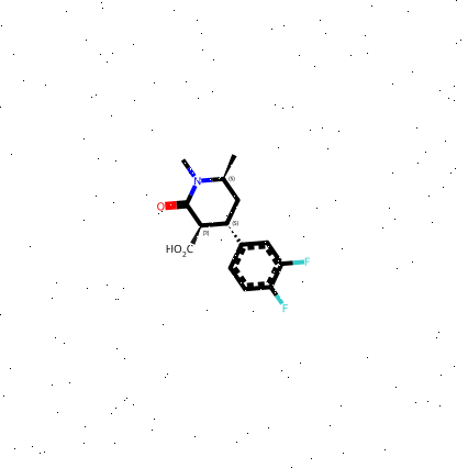 C[C@H]1C[C@H](c2ccc(F)c(F)c2)[C@@H](C(=O)O)C(=O)N1C